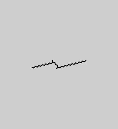 CCCCCCCCCCCCCCCCC(C)CCCC(C)CCCCCCCCCCCC